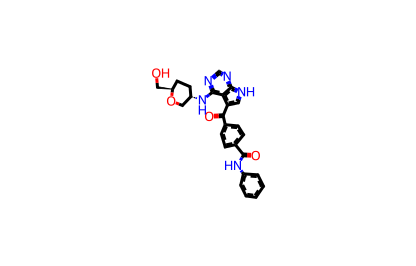 O=C(Nc1ccccc1)c1ccc(C(=O)c2c[nH]c3ncnc(N[C@H]4CC[C@H](CO)OC4)c23)cc1